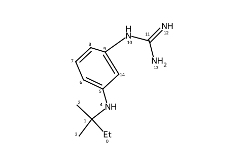 CCC(C)(C)Nc1cccc(NC(=N)N)c1